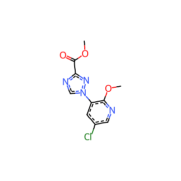 COC(=O)c1ncn(-c2cc(Cl)cnc2OC)n1